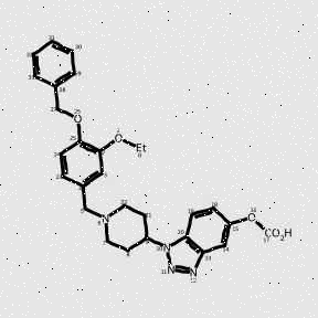 CCOc1cc(CN2CCC(n3nnc4cc(OC(=O)O)ccc43)CC2)ccc1OCc1ccccc1